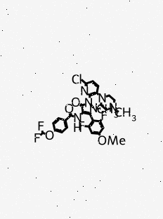 COc1cc(F)c(-c2c(NC(=O)c3ccc(OC(F)F)cc3)c(=O)n(-c3nc(Cl)ccc3N3CCN(C)CC3)n2C)c(F)c1